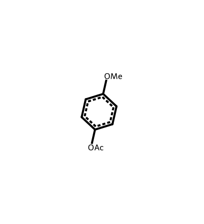 [CH2]C(=O)Oc1ccc(OC)cc1